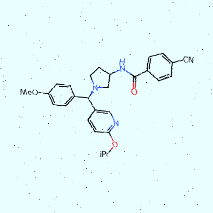 COc1ccc([C@H](c2ccc(OC(C)C)nc2)N2CCC(NC(=O)c3ccc(C#N)cc3)C2)cc1